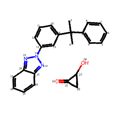 CC(C)(c1ccccc1)c1cccc(-n2nc3ccccc3n2)c1.O=C1CC1O